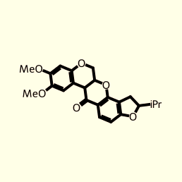 COc1cc2c(cc1OC)C1C(=O)c3ccc4c(c3OC1CO2)CC(C(C)C)O4